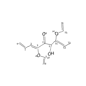 C=C/C=C(\OC=C)C(=O)C(O)/C(=C/C)OC=C